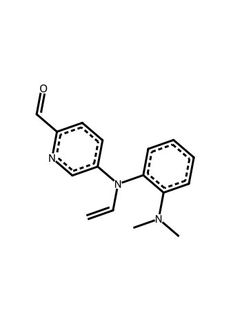 C=CN(c1ccc(C=O)nc1)c1ccccc1N(C)C